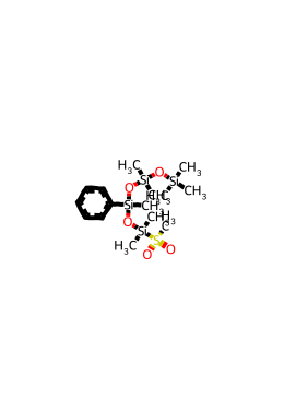 C[Si](C)(C)O[Si](C)(C)O[Si](C)(O[Si](C)(C)S(C)(=O)=O)c1ccccc1